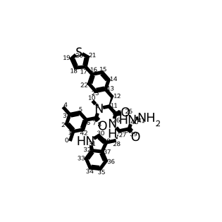 Cc1cc(C)cc(C(=O)N(C)[C@@H](Cc2ccc(-c3ccsc3)cc2)C(=O)N[C@@H](Cc2c[nH]c3ccccc23)C(=O)NN)c1